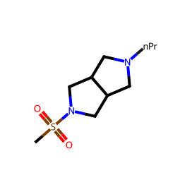 CCCN1CC2CN(S(C)(=O)=O)CC2C1